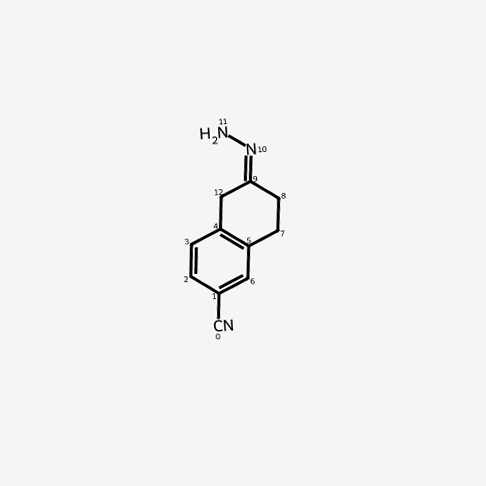 N#Cc1ccc2c(c1)CC/C(=N/N)C2